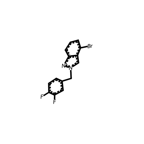 Fc1ccc(Cn2cc3c(Br)cccc3n2)cc1F